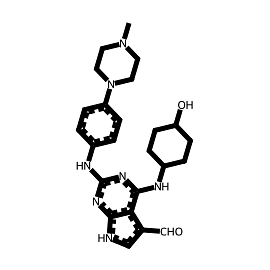 CN1CCN(c2ccc(Nc3nc(NC4CCC(O)CC4)c4c(C=O)c[nH]c4n3)cc2)CC1